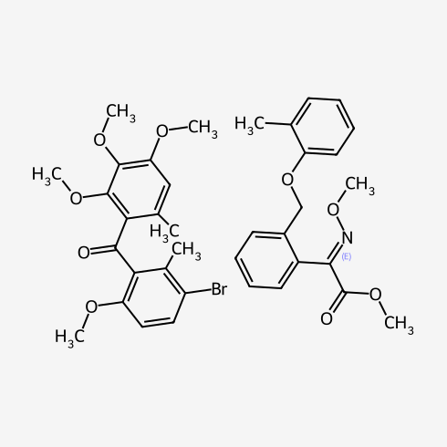 CO/N=C(/C(=O)OC)c1ccccc1COc1ccccc1C.COc1cc(C)c(C(=O)c2c(OC)ccc(Br)c2C)c(OC)c1OC